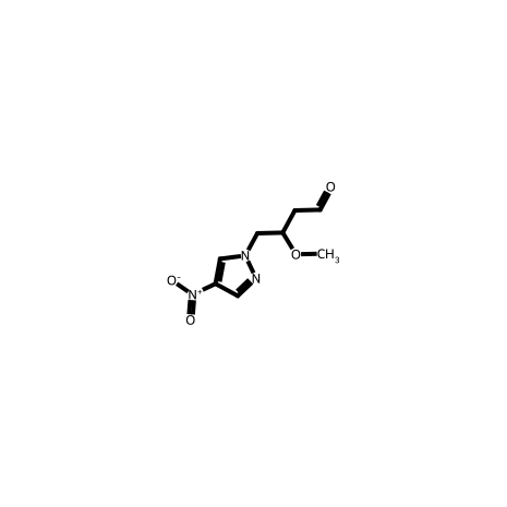 COC(CC=O)Cn1cc([N+](=O)[O-])cn1